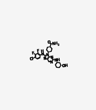 NC(=O)C1CCC(n2c(Nc3ccc(Cl)c(F)c3F)nc3cnc(N[C@H]4CCC[C@@H](O)C4)nc32)CC1